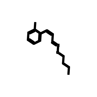 CCCCO/N=C/C=C\c1ccccc1C